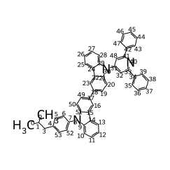 CC(C)Cc1ccc(-n2c3ccccc3c3cc(-c4ccc5c(c4)c4ccccc4n5-c4cc(-c5ccccc5)nc(-c5ccccc5)c4)ccc32)cc1